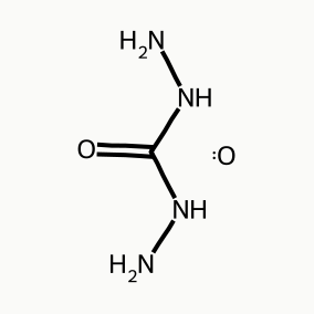 NNC(=O)NN.[O]